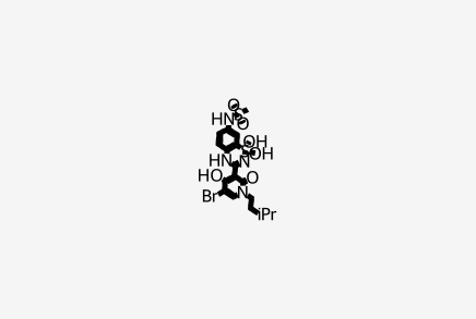 CC(C)CCn1cc(Br)c(O)c(C2=NS(O)(O)c3cc(NS(C)(=O)=O)ccc3N2)c1=O